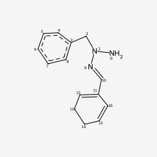 NN(Cc1ccccc1)N=CC1=CCCC=C1